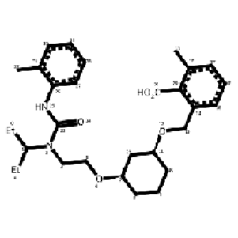 CCC(CC)N(CCO[C@@H]1CCC[C@H](OCc2cccc(C)c2C(=O)O)C1)C(=O)Nc1ccccc1C